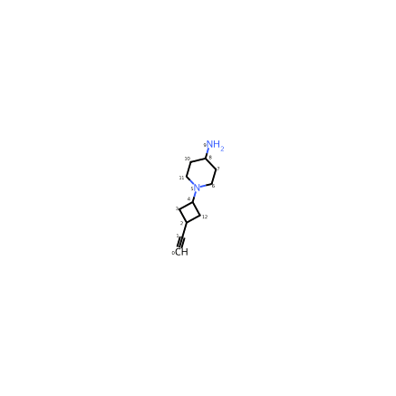 C#CC1CC(N2CCC(N)CC2)C1